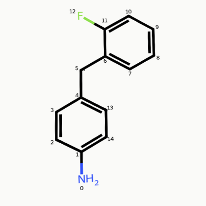 Nc1ccc([CH]c2ccccc2F)cc1